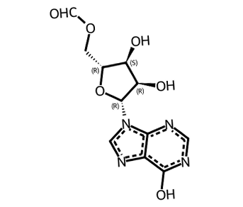 O=COC[C@H]1O[C@@H](n2cnc3c(O)ncnc32)[C@H](O)[C@@H]1O